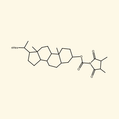 CCCCCCC(C)C1CCC2C3CCC4CC(OC(=O)N5C(=O)C(C)C(C)C5=O)CCC4(C)C3CCC12C